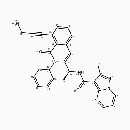 Cc1nn2cccnc2c1C(=O)N[C@@H](C)c1cc2cccc(C#CCN)c2c(=O)n1-c1ccccc1